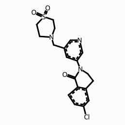 O=C1c2ccc(Cl)cc2CCN1c1cncc(CN2CCS(=O)(=O)CC2)c1